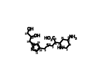 NC1CCNC(C(CSCc2cnn(CC(O)CO)c2)C(=O)O)C1